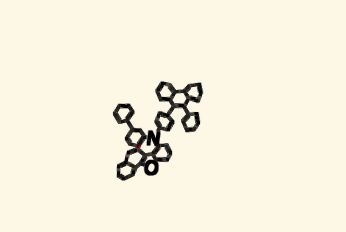 c1ccc(-c2cccc(N(c3ccc(-c4c(-c5ccccc5)c5ccccc5c5ccccc45)cc3)c3cccc4oc5c6ccccc6ccc5c34)c2)cc1